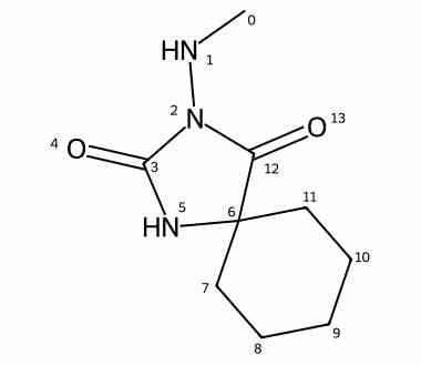 CNN1C(=O)NC2(CCCCC2)C1=O